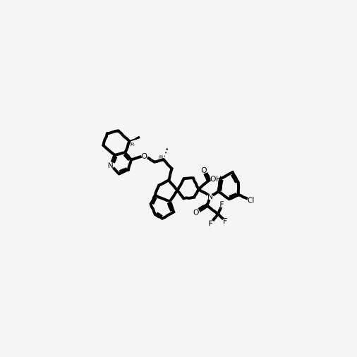 C[C@@H](COc1ccnc2c1[C@H](C)CCC2)CC1Cc2ccccc2C12CCC(C(=O)O)(N(C(=O)C(F)(F)F)c1cccc(Cl)c1)CC2